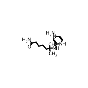 CC(C)(CCCCC(N)=O)NC1=CN(N)C=CN1